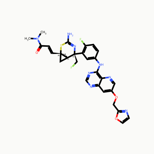 CN(C)C(=O)C=C[C@]12C[C@H]1[C@@](CF)(c1cc(Nc3ncnc4cc(OCc5ncco5)cnc34)ccc1F)N=C(N)S2